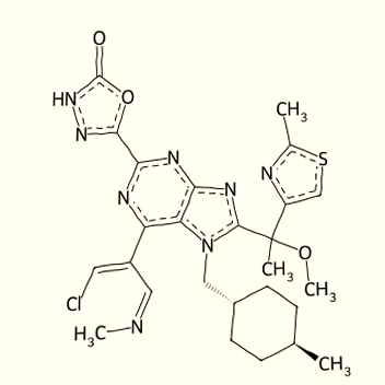 C/N=C\C(=C/Cl)c1nc(-c2n[nH]c(=O)o2)nc2nc(C(C)(OC)c3csc(C)n3)n(C[C@H]3CC[C@H](C)CC3)c12